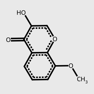 COc1cccc2c(=O)c(O)coc12